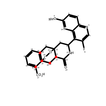 COc1ccc2ncc(F)c(C(CC34CCC(NC(=O)O)(CC3)CO4)NC(=O)OCc3ccccc3)c2n1